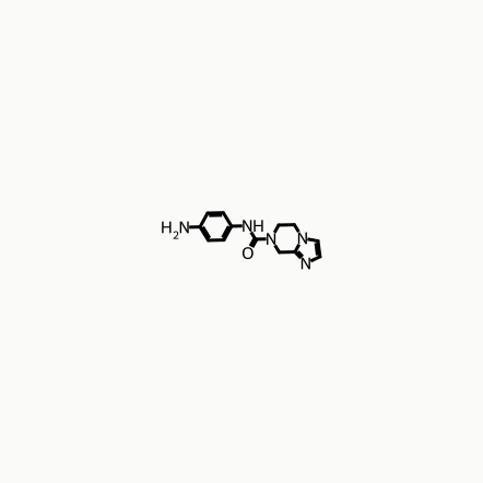 Nc1ccc(NC(=O)N2CCn3ccnc3C2)cc1